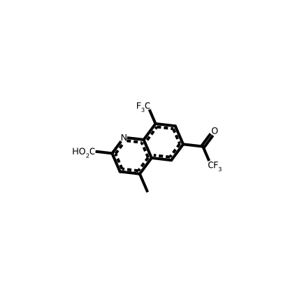 Cc1cc(C(=O)O)nc2c(C(F)(F)F)cc(C(=O)C(F)(F)F)cc12